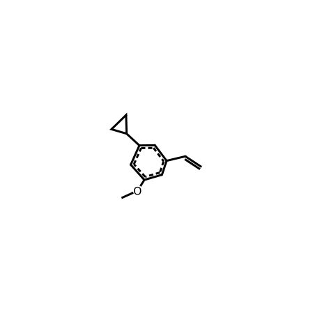 C=Cc1cc(OC)cc(C2CC2)c1